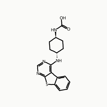 O=C(O)N[C@H]1CC[C@H](Nc2ncnc3sc4ccccc4c23)CC1